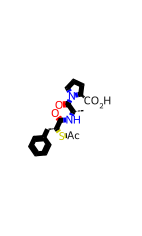 CC(=O)S[C@H](Cc1ccccc1)C(=O)N[C@@H](C)C(=O)N1CCC[C@H]1C(=O)O